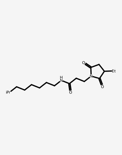 CCC1CC(=O)N(CCC(=O)NCCCCCCC(C)C)C1=O